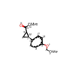 COCOc1ccc([C@H]2CC2C(=O)OC)cc1